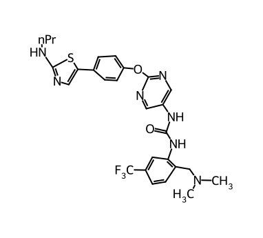 CCCNc1ncc(-c2ccc(Oc3ncc(NC(=O)Nc4cc(C(F)(F)F)ccc4CN(C)C)cn3)cc2)s1